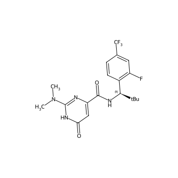 CN(C)c1nc(C(=O)N[C@@H](c2ccc(C(F)(F)F)cc2F)C(C)(C)C)cc(=O)[nH]1